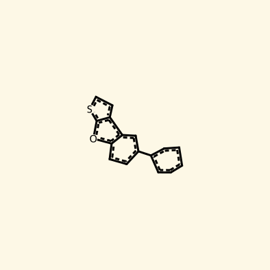 c1ccc(-c2ccc3oc4sccc4c3c2)cc1